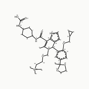 CC1=C(C(=O)NC2CCC(NC(=O)O)CC2)c2[nH]ccc2C(c2cc(C3(C)OCCO3)ccc2OCC2CC2)N1COCC[Si](C)(C)C